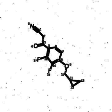 N#CCC(=O)c1ccc(OCC2CC2)c(F)c1F